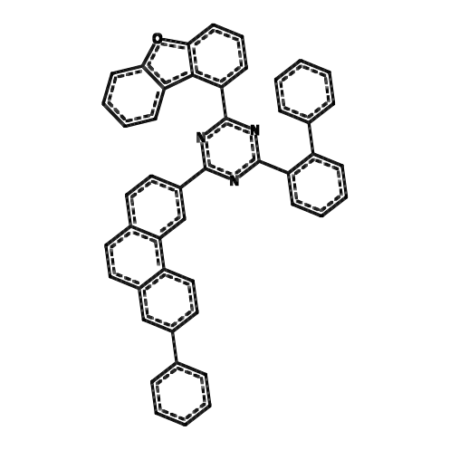 c1ccc(-c2ccc3c(ccc4ccc(-c5nc(-c6ccccc6-c6ccccc6)nc(-c6cccc7oc8ccccc8c67)n5)cc43)c2)cc1